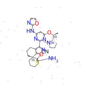 C[C@H](Oc1cc(Nc2ncco2)nc(-c2noc3c2CCC[C@@]32CCCc3sc(N)c(C#N)c32)n1)[C@@H]1CCCN1C